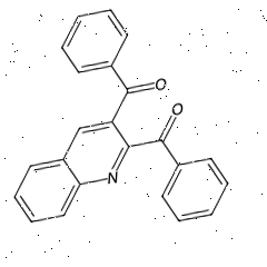 O=C(c1ccccc1)c1cc2ccccc2nc1C(=O)c1ccccc1